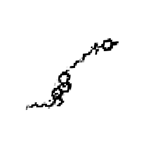 Cc1ccc(S(=O)(=O)OCCOCCOC2CCC3(C)C(=CC[C@@H]4[C@@H]3CC[C@]3(C)[C@@H]([C@H](C)CCCC(C)C)CC[C@@H]43)C2)cc1